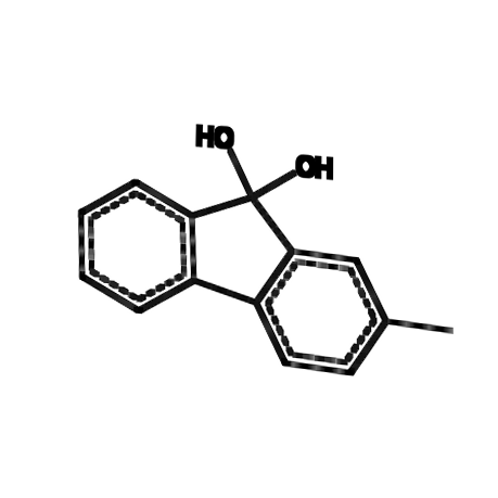 Cc1ccc2c(c1)C(O)(O)c1ccccc1-2